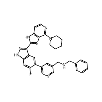 Fc1cc2[nH]nc(-c3nc4c(N5CCCCC5)nccc4[nH]3)c2cc1-c1cncc(CNCc2ccccc2)c1